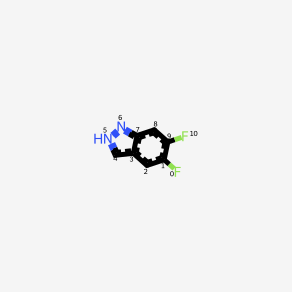 Fc1cc2c[nH]nc2cc1F